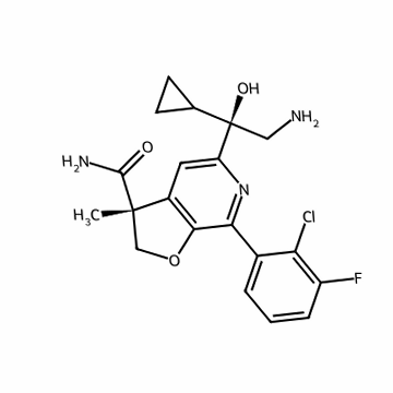 C[C@]1(C(N)=O)COc2c1cc([C@@](O)(CN)C1CC1)nc2-c1cccc(F)c1Cl